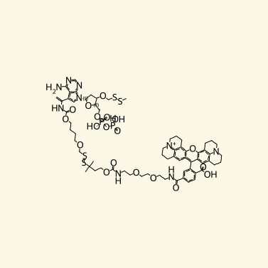 C=C(NC(=O)OCCCCOCSSC(C)(C)CCOC(=O)NCCOCCOCCNC(=O)c1ccc(C(=O)O)c(C2=c3cc4c5c(c3Oc3c2cc2c6c3CCCN6CCC2)CCC[N+]=5CCC4)c1)c1cn([C@@H]2CC(OCSSC)[C@@H](CO[P@](=O)(O)O[PH](=O)O)O2)c2ncnc(N)c12